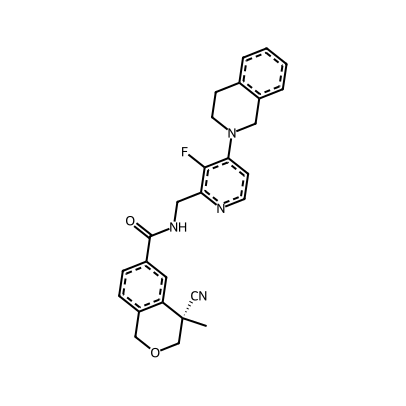 C[C@@]1(C#N)COCc2ccc(C(=O)NCc3nccc(N4CCc5ccccc5C4)c3F)cc21